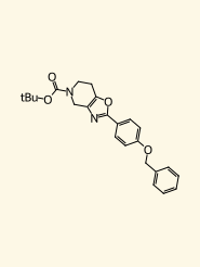 CC(C)(C)OC(=O)N1CCc2oc(-c3ccc(OCc4ccccc4)cc3)nc2C1